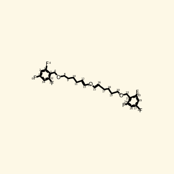 Fc1cc(F)c(COCCCCC=COC=CCCCCOCc2c(F)cc(F)cc2F)c(F)c1